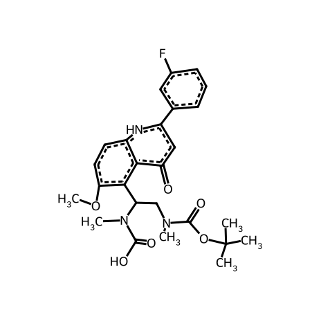 COc1ccc2[nH]c(-c3cccc(F)c3)cc(=O)c2c1C(CN(C)C(=O)OC(C)(C)C)N(C)C(=O)O